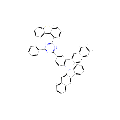 c1ccc(-c2nc(-c3ccc(-n4c5ccccc5c5cc6ccccc6cc54)c(-c4ccc5ccccc5c4)c3)nc(-c3cccc4sc5ccccc5c34)n2)cc1